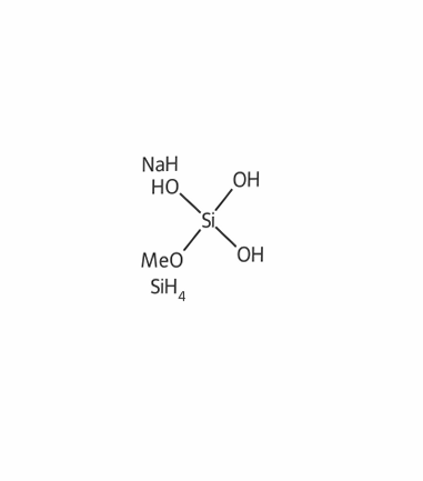 CO[Si](O)(O)O.[NaH].[SiH4]